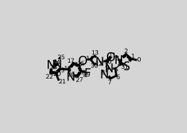 Cc1cnc([C@H]2CC=NN2C(=O)N2CC(Oc3cc(-c4c(C)cnn4C)ncc3F)C2)s1